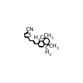 CC1(C)CCC(C)(C)c2cc(C=CCc3ccc(C#N)s3)ccc21